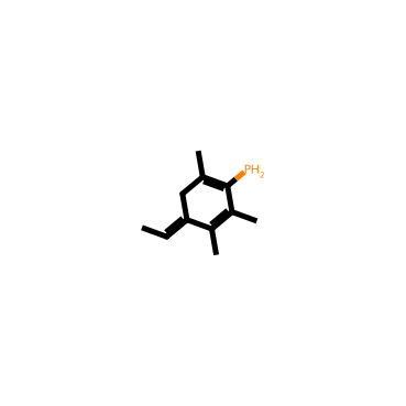 C/C=C1\CC(C)=C(P)C(C)=C1C